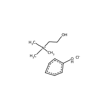 C[N+](C)(C)CCO.Oc1ccccc1.[Cl-]